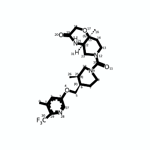 Cc1cc(OC[C@@H]2CCN(C(=O)N3CC[C@]4(C)OCC(=O)N[C@@H]4C3)C[C@@H]2C)cnc1C(F)(F)F